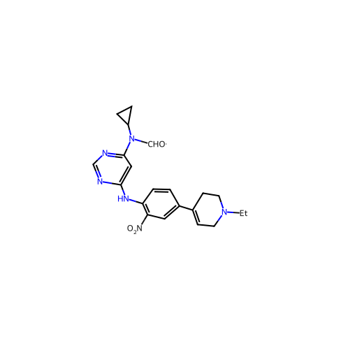 CCN1CC=C(c2ccc(Nc3cc(N([C]=O)C4CC4)ncn3)c([N+](=O)[O-])c2)CC1